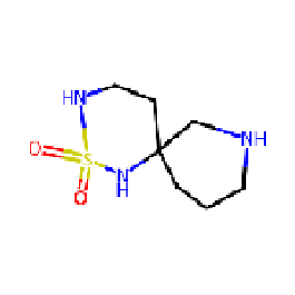 O=S1(=O)NCCC2(CCCNC2)N1